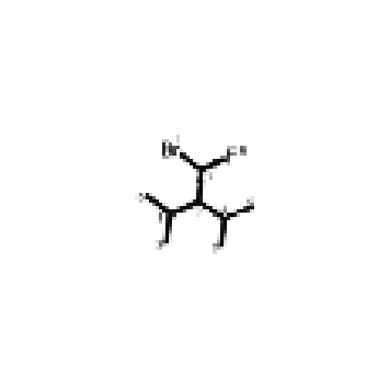 CC(C)C(C(C)C)C(F)Br